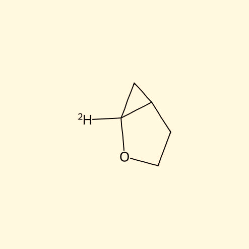 [2H]C12CC1CCO2